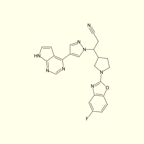 N#CCC(C1CCN(c2nc3cc(F)ccc3o2)C1)n1cc(-c2ncnc3[nH]ccc23)cn1